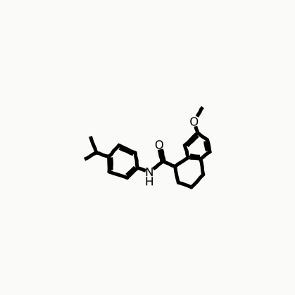 COc1ccc2c(c1)C(C(=O)Nc1ccc(C(C)C)cc1)CCC2